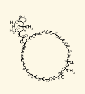 CC(CC(=O)OC1CCCCCCCC/C=C\CCCCCCCC(=O)OC(C)OC(=O)CCCCCCC/C=C\CCCCCCCC1)CC(C)(C)CN(C)C